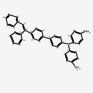 Nc1ccc(N(c2ccc(N)cc2)c2ccc(-c3ccc(/C(=C/c4ccccc4)c4ccccc4)cc3)cc2)cc1